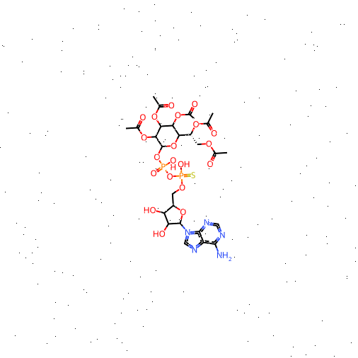 CC(=O)OC[C@@H](OC(C)=O)C1OC(OP(=O)(O)OP(O)(=S)OCC2OC(n3cnc4c(N)ncnc43)C(O)C2O)C(OC(C)=O)C(OC(C)=O)C1OC(C)=O